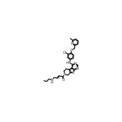 CCCNC/C=C/C(=O)N1CCc2c(sc3ncnc(Nc4ccc(OCc5cccc(C)n5)c(Cl)c4)c23)C1